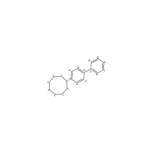 C1CCCCCCC1.c1ccc(-c2ccccc2)cc1